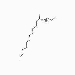 CCCCCCCCCCCCC(C)NCCC